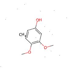 C.COc1ccc(O)cc1OC